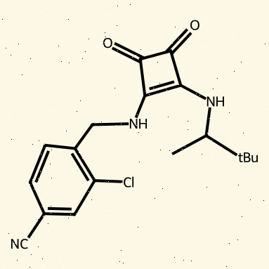 CC(Nc1c(NCc2ccc(C#N)cc2Cl)c(=O)c1=O)C(C)(C)C